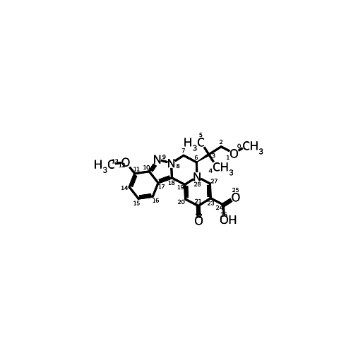 COCC(C)(C)[C@@H]1Cn2nc3c(OC)cccc3c2-c2cc(=O)c(C(=O)O)cn21